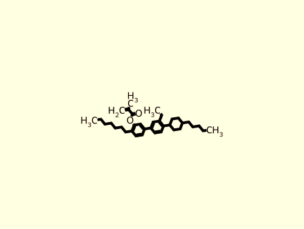 C=C(C)C(=O)Oc1cc(-c2ccc(C3CCC(CCCCC)CC3)c(CC)c2)ccc1CCCCCCC